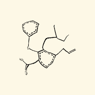 C=CCc1ccc(C(=O)O)c(Oc2ccccc2)c1CC(C)CC